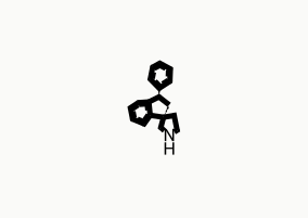 c1ccc([C@@H]2C[C@@]3(CCNC3)c3ccccc32)cc1